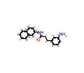 Nc1cccc(CCC(=O)Nc2ccc3ccccc3c2)c1